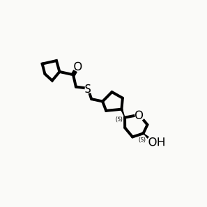 O=C(CSCC1CCC([C@@H]2CC[C@H](O)CO2)C1)C1CCCC1